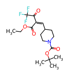 CCOC(=O)/C(=C\C1CCN(C(=O)OC(C)(C)C)CC1)C(=O)C(F)(F)F